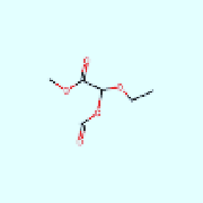 CCOC(O[C]=O)C(=O)OC